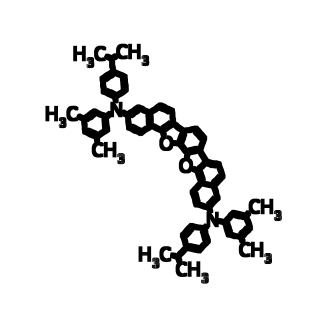 Cc1cc(C)cc(N(c2ccc(C(C)C)cc2)c2ccc3c(ccc4c5ccc6c7ccc8cc(N(c9ccc(C(C)C)cc9)c9cc(C)cc(C)c9)ccc8c7oc6c5oc34)c2)c1